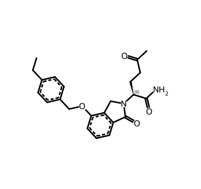 CCc1ccc(COc2cccc3c2CN([C@@H](CCC(C)=O)C(N)=O)C3=O)cc1